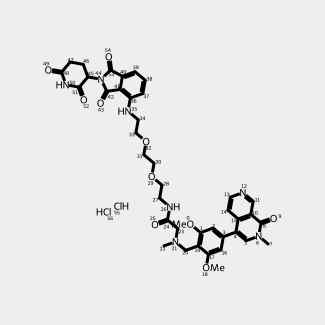 COc1cc(-c2cn(C)c(=O)c3cnccc23)cc(OC)c1CN(C)CC(=O)NCCOCCOCCNc1cccc2c1C(=O)N(C1CCC(=O)NC1=O)C2=O.Cl.Cl